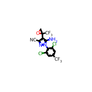 N#Cc1nn(-c2c(Cl)cc(C(F)(F)F)cc2Cl)c(N)c1C1(C(F)(F)F)CO1